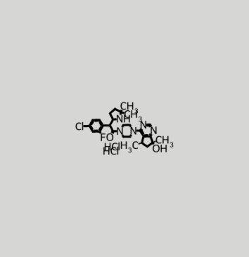 C[C@@H]1C[C@@](C)(O)c2ncnc(N3CCN(C(=O)C(c4ccc(Cl)cc4F)C4CCC(C)(C)N4)CC3)c21.Cl.Cl